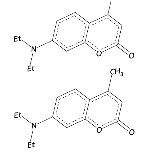 CCN(CC)c1ccc2c(C)cc(=O)oc2c1.CCN(CC)c1ccc2c(C)cc(=O)oc2c1